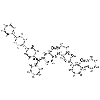 c1ccc(-c2ccc(-c3ccc(N(c4ccccc4)c4ccc5c(c4)oc4ccc6sc(-c7cccc8c7oc7ccccc78)nc6c45)cc3)cc2)cc1